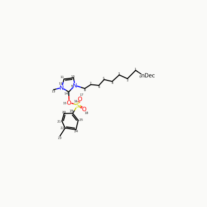 CCCCCCCCCCCCCCCCCCN1C=CN(C)C1OS(=O)(=O)c1ccc(C)cc1